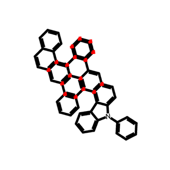 c1ccc(-c2ccccc2-c2c(-c3ccccc3)cccc2-c2ccccc2N(c2cccc(-c3cccc4c3c3ccccc3n4-c3ccccc3)c2)c2cccc3ccccc23)cc1